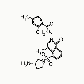 Cc1ccc(C(=O)OCn2cc(C)c3c(S(=O)(=O)N4CC[C@H](N)C4)cccc3c2=O)c(C)c1